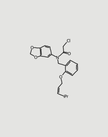 CC(C)/C=C\COc1ccccc1CN(C(=O)CCl)c1ccc2c(c1)OCO2